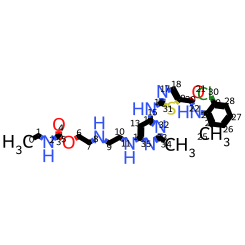 CCNC(=O)OCCNCCNc1cc(Nc2ncc(C(=O)Nc3c(C)cccc3Cl)s2)nc(C)n1